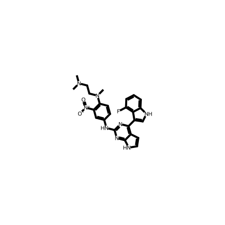 CN(C)CCN(C)c1ccc(Nc2nc(-c3c[nH]c4cccc(F)c34)c3cc[nH]c3n2)cc1[N+](=O)[O-]